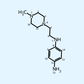 CN1CCN(CCNc2ccc(N)cc2)CC1